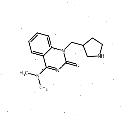 CN(C)c1nc(=O)n(CC2CCNC2)c2ccccc12